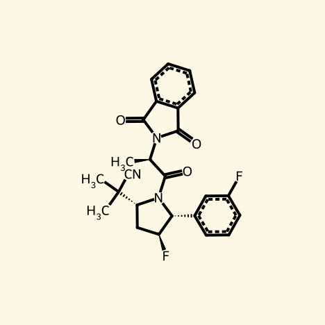 C[C@H](C(=O)N1[C@H](c2cccc(F)c2)[C@@H](F)C[C@@H]1C(C)(C)C#N)N1C(=O)c2ccccc2C1=O